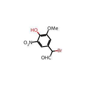 COc1cc(C(Br)C=O)cc([N+](=O)[O-])c1O